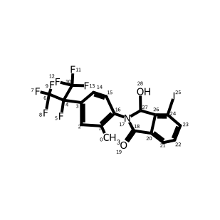 Cc1cc(C(F)(C(F)(F)F)C(F)(F)F)ccc1N1C(=O)c2cccc(I)c2C1O